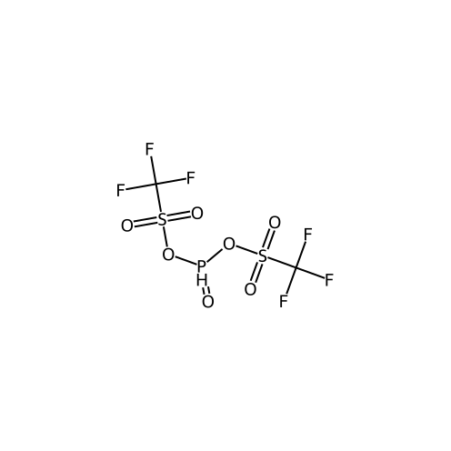 O=[PH](OS(=O)(=O)C(F)(F)F)OS(=O)(=O)C(F)(F)F